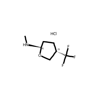 CN[C@H]1CC[C@H](C(F)(F)F)CO1.Cl